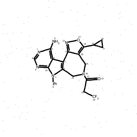 CC(C)n1c2c(c3c(N)ncnc31)-c1noc(C3CC3)c1CN(C(=O)CC(F)(F)F)C2